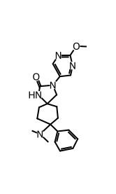 COc1ncc(N2CC3(CCC(c4ccccc4)(N(C)C)CC3)NC2=O)cn1